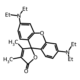 CCN(CC)c1ccc2c(c1)Oc1cc(N(CC)CC)ccc1C21OC(=O)C(C)=C1C